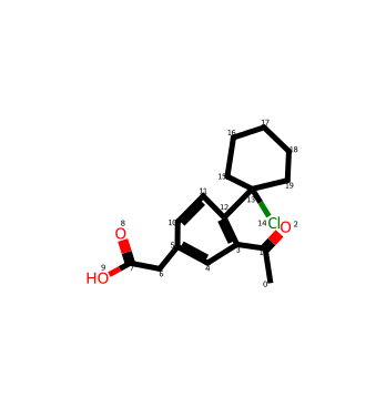 CC(=O)c1cc(CC(=O)O)ccc1C1(Cl)CCCCC1